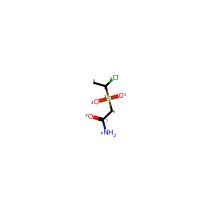 CC(Cl)S(=O)(=O)CC(N)=O